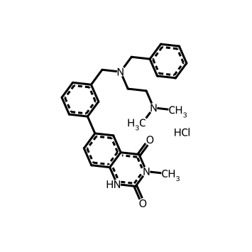 CN(C)CCN(Cc1ccccc1)Cc1cccc(-c2ccc3[nH]c(=O)n(C)c(=O)c3c2)c1.Cl